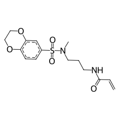 C=CC(=O)NCCCN(C)S(=O)(=O)c1ccc2c(c1)OCCO2